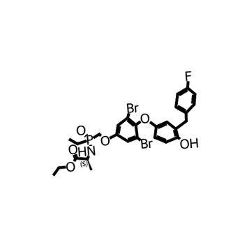 CCOC(=O)[C@H](C)NP(=O)(CC)COc1cc(Br)c(Oc2ccc(O)c(Cc3ccc(F)cc3)c2)c(Br)c1